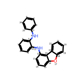 c1ccc(Nc2ccccc2Nc2cccc3oc4ccccc4c23)cc1